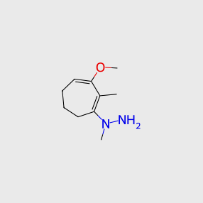 COC1=CCCCC(N(C)N)=C1C